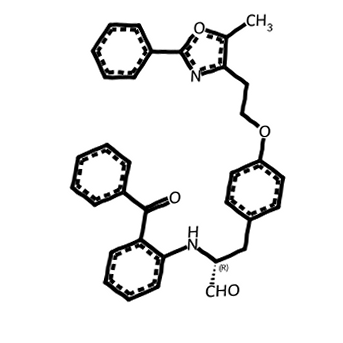 Cc1oc(-c2ccccc2)nc1CCOc1ccc(C[C@H](C=O)Nc2ccccc2C(=O)c2ccccc2)cc1